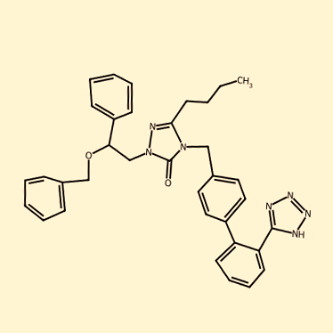 CCCCc1nn(CC(OCc2ccccc2)c2ccccc2)c(=O)n1Cc1ccc(-c2ccccc2-c2nnn[nH]2)cc1